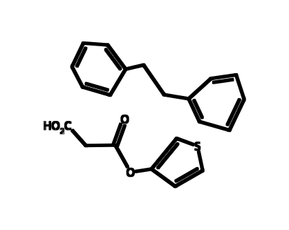 O=C(O)CC(=O)Oc1ccsc1.c1ccc(CCc2ccccc2)cc1